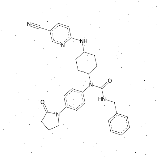 N#Cc1ccc(NC2CCC(N(C(=O)NCc3ccccc3)c3ccc(N4CCCC4=O)cc3)CC2)nc1